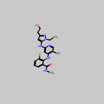 CCn1nc(CCO)cc1Nc1cc(Nc2c(F)cccc2C(=O)NC)c(C)cn1